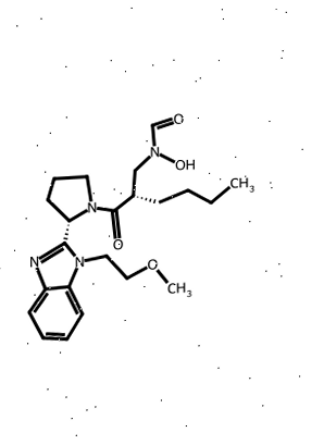 CCCC[C@@H](CN(O)C=O)C(=O)N1CCC[C@H]1c1nc2ccccc2n1CCOC